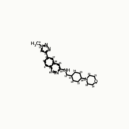 Cn1cc(-c2ccc3nnc(NCC4CCC(N5CCOCC5)CC4)cc3c2)nn1